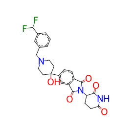 O=C1CCC(N2C(=O)c3ccc(C4(O)CCN(Cc5cccc(C(F)F)c5)CC4)cc3C2=O)C(=O)N1